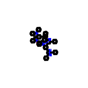 c1ccc(-c2ccc3c(c2)c2ccccc2n3-c2ccc(-c3cc(-c4ccccc4)nc(-c4ccccc4)n3)cc2-c2cc(-c3ccccc3)nc(-c3cccc(-c4cc5c6c(c4)N(c4ccccc4)c4ccccc4B6c4ccccc4N5c4ccccc4)c3)n2)cc1